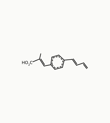 C=CC=Cc1ccc(C=C(C)C(=O)O)cc1